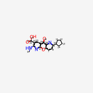 CNc1nc2oc3ccc(C4CCCC4)nc3c(=O)c2cc1C(=O)O